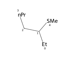 [CH2]CC(CCCC)SC